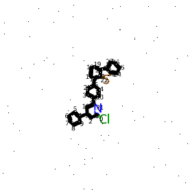 Clc1cc(-c2ccccc2)cc(-c2ccc(-c3cccc4c3sc3ccccc34)cc2)n1